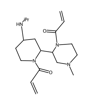 C=CC(=O)N1CCC(NC(C)C)CC1C1CN(C)CCN1C(=O)C=C